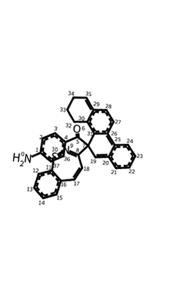 Nc1ccc(C(=O)C2(C3=NSc4ccccc4C=C3)C=c3ccccc3=c3ccc4c(c32)CCCC=4)cc1